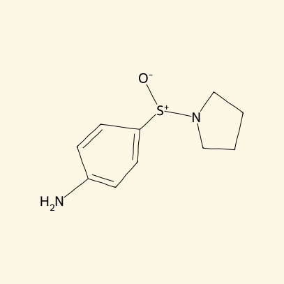 Nc1ccc([S+]([O-])N2CCCC2)cc1